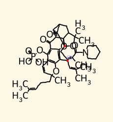 CC(C)=CCCC1(C)C=Cc2c(c(CC=C(C)C)c3c(c2OP(=O)(O)O)C(=O)C2=CC4CC5C(C)(C)OC(C/C=C(/C)C(=O)N6CCCCC6)(C4=O)C25O3)O1